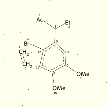 C=C.CCC(C(C)=O)c1cc(OC)c(OC)cc1Br